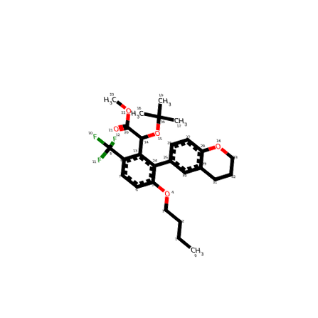 CCCCOc1ccc(C(F)(F)F)c(C(OC(C)(C)C)C(=O)OC)c1-c1ccc2c(c1)CCCO2